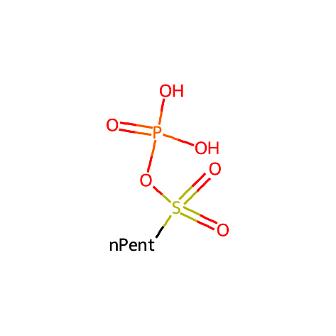 CCCCCS(=O)(=O)OP(=O)(O)O